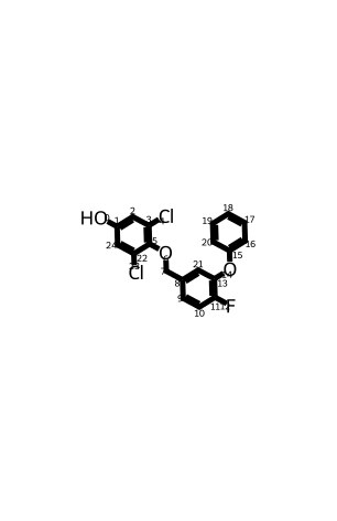 Oc1cc(Cl)c(OCc2ccc(F)c(Oc3ccccc3)c2)c(Cl)c1